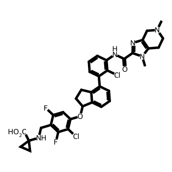 CN1CCc2c(nc(C(=O)Nc3cccc(-c4cccc5c4CCC5Oc4cc(F)c(CNC5(C(=O)O)CC5)c(F)c4Cl)c3Cl)n2C)C1